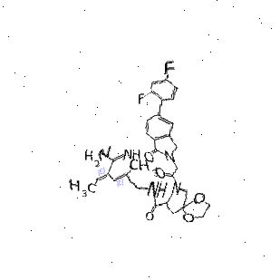 C/C=C(\C=C(/C)CNC(=O)C1CC2(CN1C(=O)CN1Cc3cc(-c4ccc(F)cc4F)ccc3C1=O)OCCO2)C(=N)N